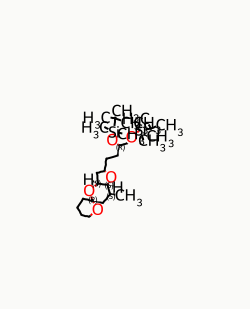 C[C@H]1C[C@@]2(CCCCO2)O[C@H]2CC(CC[C@H](CO[Si](C)(C)C(C)(C)C)O[Si](C)(C)C(C)(C)C)O[C@H]21